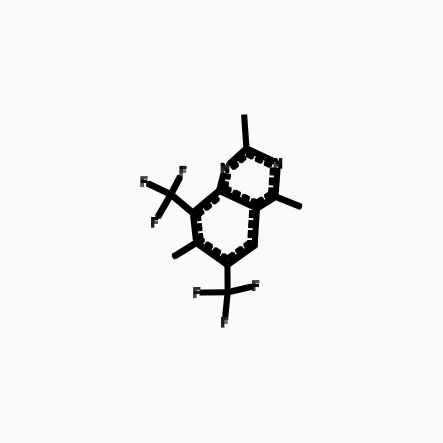 Cc1nc(C)c2cc(C(F)(F)F)c(C)c(C(F)(F)F)c2n1